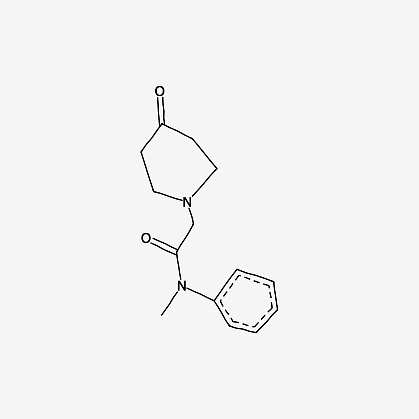 CN(C(=O)CN1CCC(=O)CC1)c1ccccc1